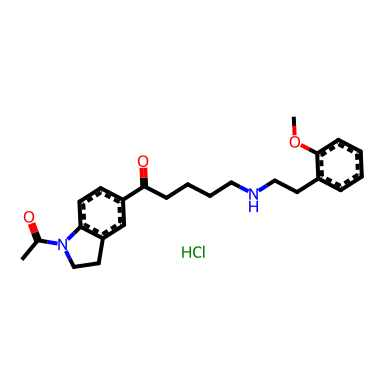 COc1ccccc1CCNCCCCC(=O)c1ccc2c(c1)CCN2C(C)=O.Cl